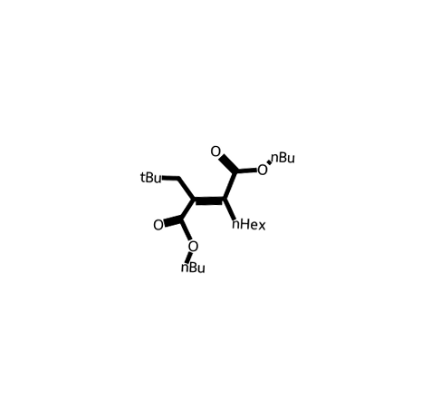 CCCCCCC(C(=O)OCCCC)=C(CC(C)(C)C)C(=O)OCCCC